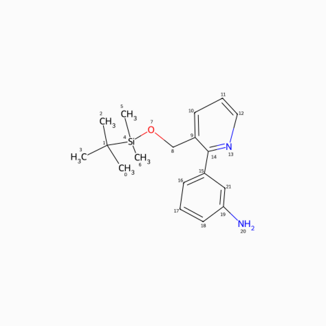 CC(C)(C)[Si](C)(C)OCc1cccnc1-c1cccc(N)c1